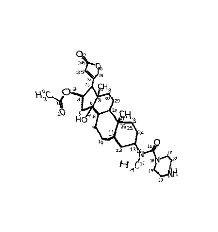 CC(=O)OC1CC2(O)C3CCC4CC(N(C)C(=O)N5CCNCC5)CCC4(C)C3CCC2(C)C1C1=CC(=O)OC1